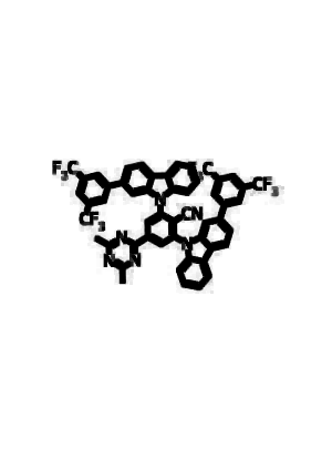 Cc1nc(C)nc(-c2cc(-n3c4ccccc4c4ccc(-c5cc(C(F)(F)F)cc(C(F)(F)F)c5)cc43)c(C#N)c(-n3c4ccccc4c4ccc(-c5cc(C(F)(F)F)cc(C(F)(F)F)c5)cc43)c2)n1